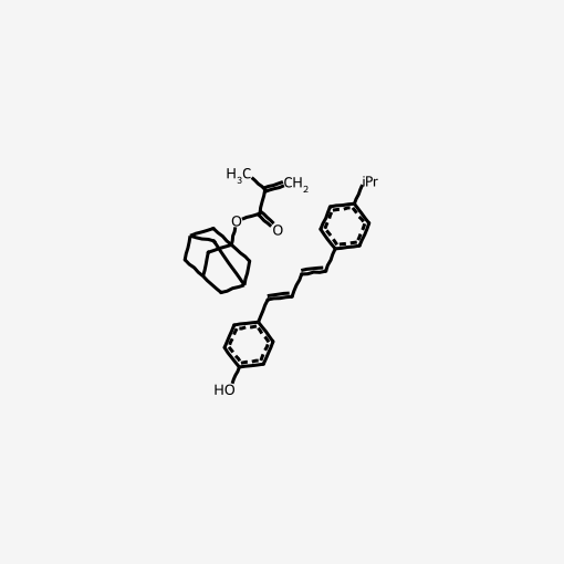 C=C(C)C(=O)OC12CC3CC(CC(C3)C1)C2.CC(C)c1ccc(C=CC=Cc2ccc(O)cc2)cc1